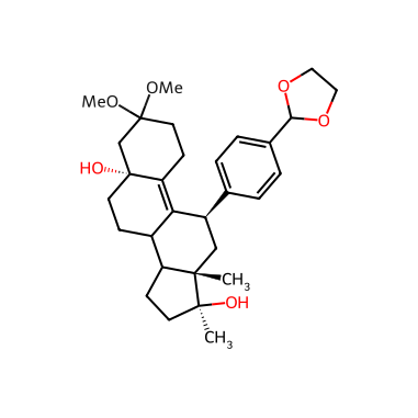 COC1(OC)CCC2=C3C(CC[C@@]2(O)C1)C1CC[C@](C)(O)[C@@]1(C)C[C@@H]3c1ccc(C2OCCO2)cc1